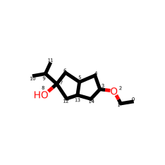 CCOC1CC2CC(O)(C(C)C)CC2C1